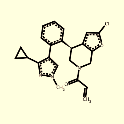 C=CC(=O)N1Cc2sc(Cl)cc2[C@H](c2ccccc2-c2cn(C)nc2C2CC2)C1